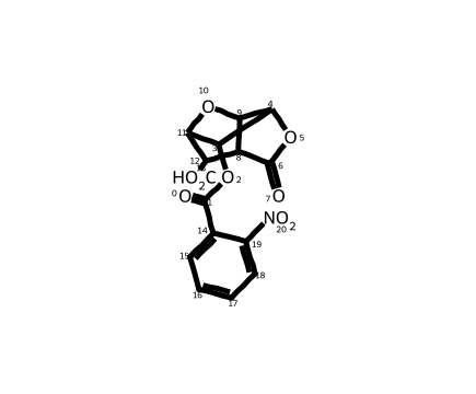 O=C(OC1C2OC(=O)C3C2OC1C3C(=O)O)c1ccccc1[N+](=O)[O-]